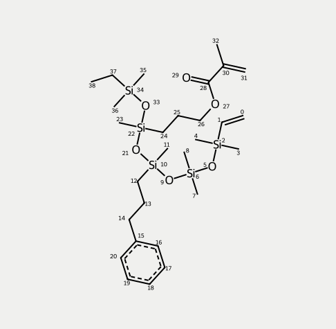 C=C[Si](C)(C)O[Si](C)(C)O[Si](C)(CCCc1ccccc1)O[Si](C)(CCCOC(=O)C(=C)C)O[Si](C)(C)CC